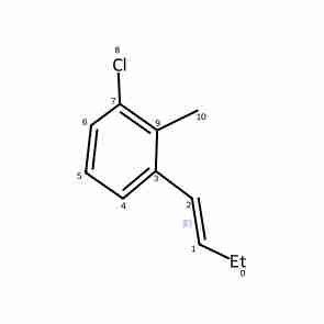 CC/C=C/c1cccc(Cl)c1C